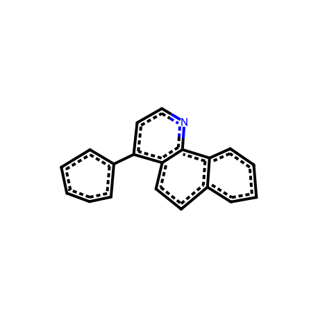 c1ccc(-c2ccnc3c2ccc2ccccc23)cc1